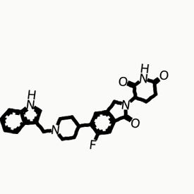 O=C1CCC(N2Cc3cc(C4CCN(Cc5c[nH]c6ccccc56)CC4)c(F)cc3C2=O)C(=O)N1